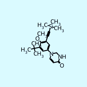 COc1c(C#C[Si](C)(C)C)cc(N2C=CC(=O)NC2)cc1C(C)(C)C